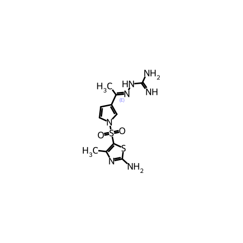 C/C(=N\NC(=N)N)c1ccn(S(=O)(=O)c2sc(N)nc2C)c1